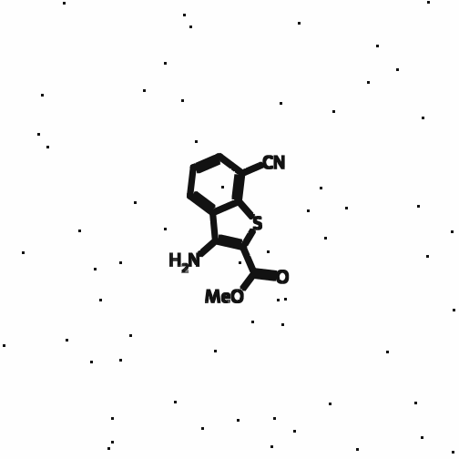 COC(=O)c1sc2c(C#N)cccc2c1N